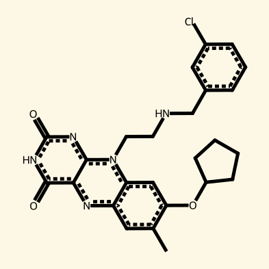 Cc1cc2nc3c(=O)[nH]c(=O)nc-3n(CCNCc3cccc(Cl)c3)c2cc1OC1CCCC1